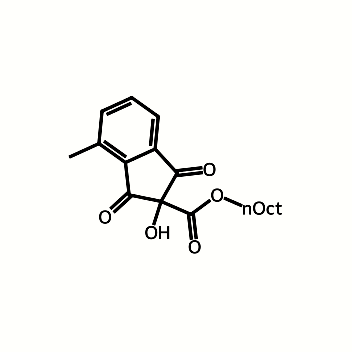 CCCCCCCCOC(=O)C1(O)C(=O)c2cccc(C)c2C1=O